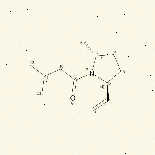 C=C[C@@H]1CC[C@@H](C)N1C(=O)CC(C)C